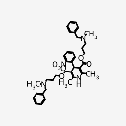 CC1=C(C(=O)OCCCN(C)Cc2ccccc2)C(c2ccccc2[N+](=O)[O-])C(C(=O)OCCCN(C)Cc2ccccc2)=C(C)N1